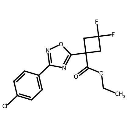 CCOC(=O)C1(c2nc(-c3ccc(Cl)cc3)no2)CC(F)(F)C1